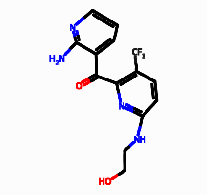 Nc1ncccc1C(=O)c1nc(NCCO)ccc1C(F)(F)F